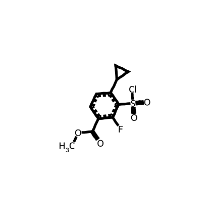 COC(=O)c1ccc(C2CC2)c(S(=O)(=O)Cl)c1F